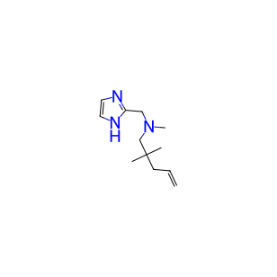 C=CCC(C)(C)CN(C)Cc1ncc[nH]1